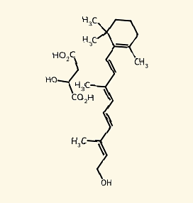 CC1=C(/C=C/C(C)=C/C=C/C(C)=C/CO)C(C)(C)CCC1.O=C(O)CC(O)C(=O)O